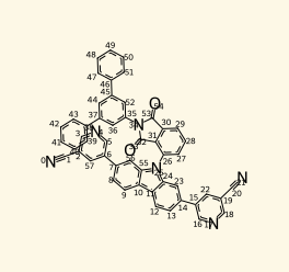 N#Cc1cncc(-c2ccc3c4ccc(-c5cncc(C#N)c5)cc4n(-c4cccc5c4C(=O)N(c4cc(-c6ccccc6)cc(-c6ccccc6)c4)C5=O)c3c2)c1